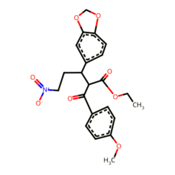 CCOC(=O)C(C(=O)c1ccc(OC)cc1)C(CC[N+](=O)[O-])c1ccc2c(c1)OCO2